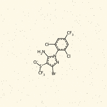 Nc1c([S+]([O-])C(F)(F)F)c(Br)nn1-c1c(Cl)cc(C(F)(F)F)cc1Cl